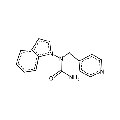 NC(=O)N(Cc1ccncc1)n1ccc2ccccc21